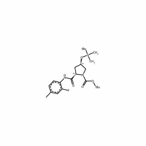 CC(C)(C)OC(=O)N1C[C@H](O[Si](C)(C)C(C)(C)C)C[C@@H]1C(=O)Nc1ccc(I)cc1F